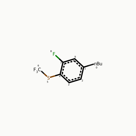 [CH2]CCCc1ccc(SC(F)(F)F)c(F)c1